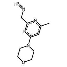 Cc1cc(N2CCOCC2)nc(CN=P)n1